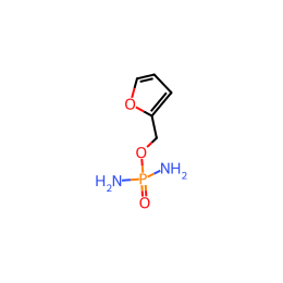 NP(N)(=O)OCc1ccco1